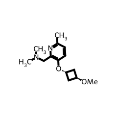 CO[C@H]1C[C@H](Oc2ccc(C)nc2CN(C)C)C1